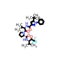 CC(C)[C@H](NC(=O)c1cc(C(C)(C)C)n(-c2ccccc2)n1)C(=O)N1CCC[C@H]1C(=O)N[C@H](C(=O)C(F)(F)F)C(C)C